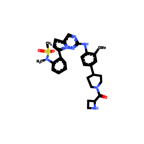 COc1cc(C2CCN(C(=O)C3CCN3)CC2)ccc1Nc1ncc2ccc(-c3ccccc3N(C)S(C)(=O)=O)n2n1